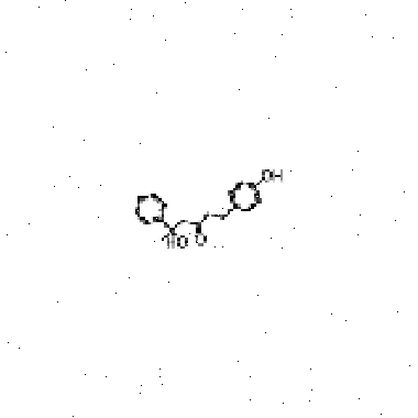 CC(O)(CC(=O)CCc1ccc(O)cc1)c1ccccc1